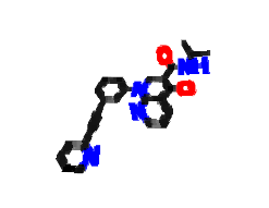 CC(C)NC(=O)c1cn(-c2cccc(C#Cc3ccccn3)c2)c2ncccc2c1=O